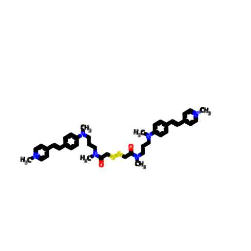 CN(CCCN(C)c1ccc(/C=C/c2cc[n+](C)cc2)cc1)C(=O)CSSCC(=O)N(C)CCCN(C)c1ccc(/C=C/c2cc[n+](C)cc2)cc1